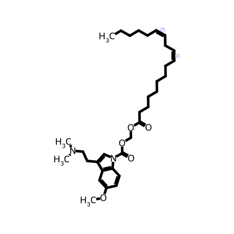 CCCCC/C=C\C/C=C\CCCCCCCC(=O)OCOC(=O)n1cc(CCN(C)C)c2cc(OC)ccc21